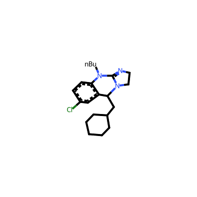 CCCCN1C2=NCCN2C(CC2CCCCC2)c2cc(Cl)ccc21